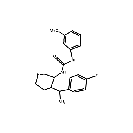 COc1cccc(NC(=O)NC2C[N]CCC2C(C)c2ccc(F)cc2)c1